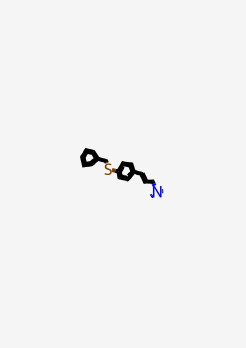 CN(C)CC=Cc1ccc(SCc2ccccc2)cc1